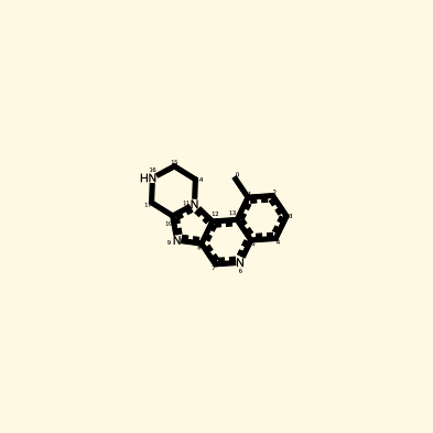 Cc1cccc2ncc3nc4n(c3c12)CCNC4